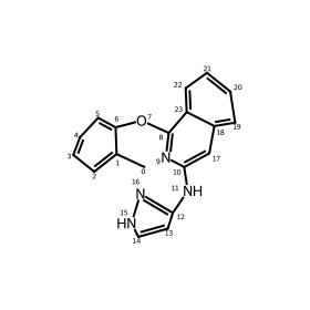 Cc1ccccc1Oc1nc(Nc2cc[nH]n2)cc2ccccc12